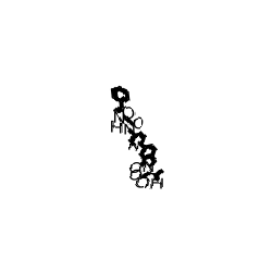 CC(C)[C@@H](C(=O)O)N1Cc2ccc(-c3ccc(NC(=O)c4ncc(-c5ccccc5)o4)cn3)cc2C1=O